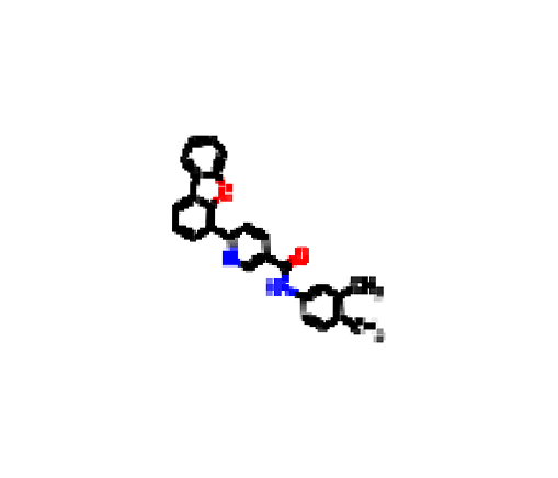 Cc1ccc(NC(=O)c2ccc(-c3cccc4c3oc3ccccc34)nc2)cc1C